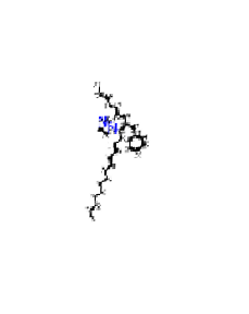 CCCCCCCCCCCCCC(C(CCCCCCC)Cc1ccccc1)n1ccnc1